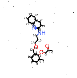 CC(=O)COc1c(C)cccc1COCCCNc1ccc2ccccc2n1